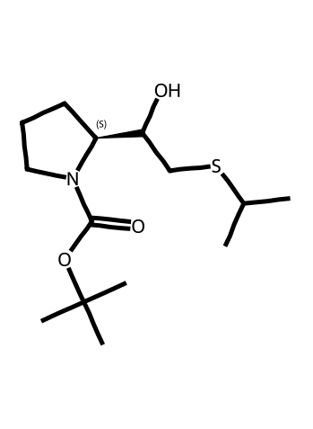 CC(C)SCC(O)[C@@H]1CCCN1C(=O)OC(C)(C)C